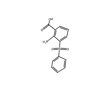 Nc1c(C(=O)O)cccc1S(=O)(=O)c1ccccc1